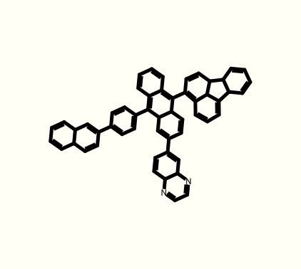 C1=CC2=C(C3=c4ccccc4=C(c4ccc(C5=CC6C=CC=CC6C=C5)cc4)C4C=C(C5=CC6N=CC=NC6C=C5)C=CC34)C=CC3C2C(=C1)C1C=CC=CC13